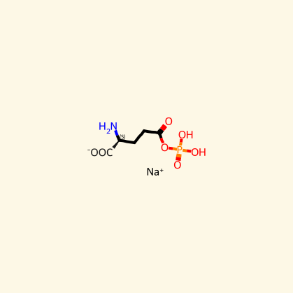 N[C@@H](CCC(=O)OP(=O)(O)O)C(=O)[O-].[Na+]